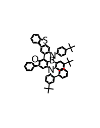 CC(C)(C)c1ccc(N2B3c4cc(C(C)(C)C)ccc4N(c4ccc(C(C)(C)C)cc4-c4ccccc4)c4cc5c(oc6ccccc65)c(c43)-c3cc4c(cc32)sc2ccccc24)cc1